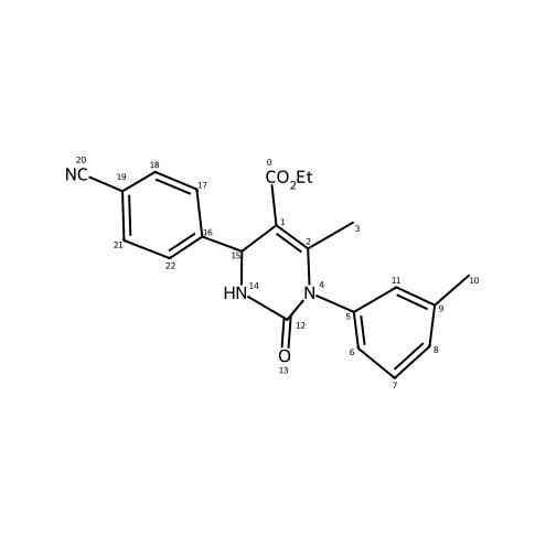 CCOC(=O)C1=C(C)N(c2cccc(C)c2)C(=O)NC1c1ccc(C#N)cc1